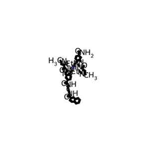 CCn1nc(C)cc1C(=O)Nc1nc2cc(C(N)=O)ccc2n1C/C=C/Cn1c(NC(=O)c2cc(C)nn2CC)nc2cc(C(=O)NCCCNC(=O)c3ccc4ccccc4c3)ccc21